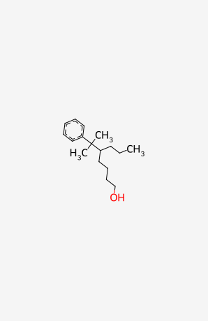 CCCC(CCCCO)C(C)(C)c1ccccc1